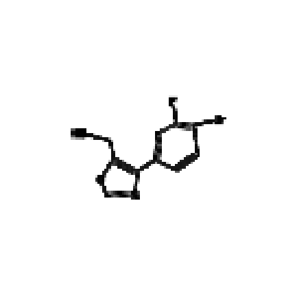 OCc1ocnc1-c1ccc(Br)c(F)c1